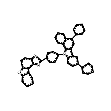 c1ccc(-c2ccc3c(c2)c2cc(-c4ccccc4)c4ccccc4c2n3-c2ccc(-c3nc4c(ccc5oc6ccccc6c54)s3)cc2)cc1